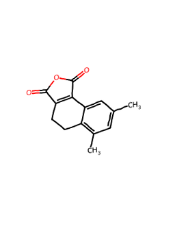 Cc1cc(C)c2c(c1)C1=C(CC2)C(=O)OC1=O